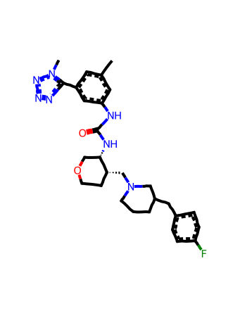 Cc1cc(NC(=O)N[C@H]2COCC[C@H]2CN2CCCC(Cc3ccc(F)cc3)C2)cc(-c2nnnn2C)c1